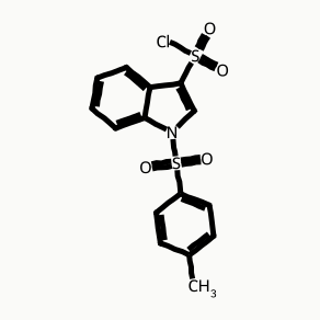 Cc1ccc(S(=O)(=O)n2cc(S(=O)(=O)Cl)c3ccccc32)cc1